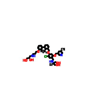 CCC(CO)(CO)NCc1cc(Cl)c(OCc2cccc(-c3cccc(OCCCNC[C@@H](O)CO)c3C)c2C)cc1OCc1cncc(C#N)c1